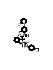 CC1(C(=O)Nc2ccc(-n3ccccc3=O)cc2F)c2ccccc2CN1C(=O)Nc1ccc(Cl)cc1